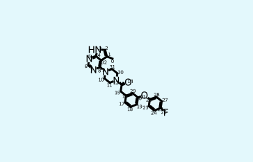 Cc1c[nH]c2ncnc(N3CCN(C(=O)Cc4cccc(Oc5ccc(F)cc5)c4)CC3)c12